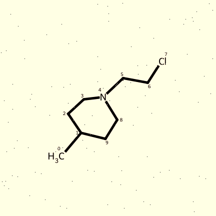 CC1CCN([CH]CCl)CC1